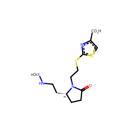 CCCCCCCCNCC[C@H]1CCC(=O)N1CCSc1nc(C(=O)O)cs1